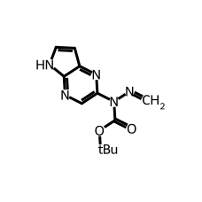 C=NN(C(=O)OC(C)(C)C)c1cnc2[nH]ccc2n1